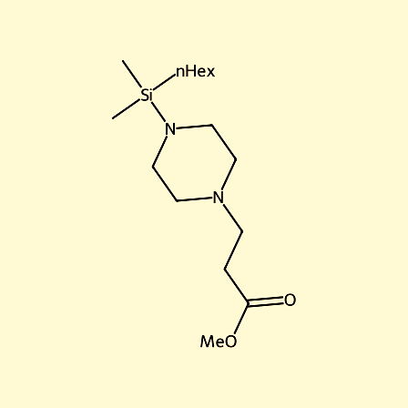 CCCCCC[Si](C)(C)N1CCN(CCC(=O)OC)CC1